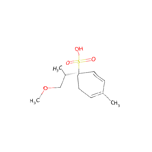 COCC(C)[C@]1(S(=O)(=O)O)C=CC(C)=CC1